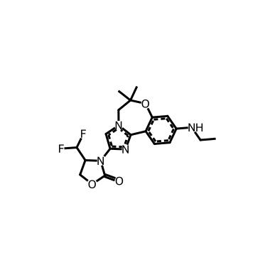 CCNc1ccc2c(c1)OC(C)(C)Cn1cc(N3C(=O)OCC3C(F)F)nc1-2